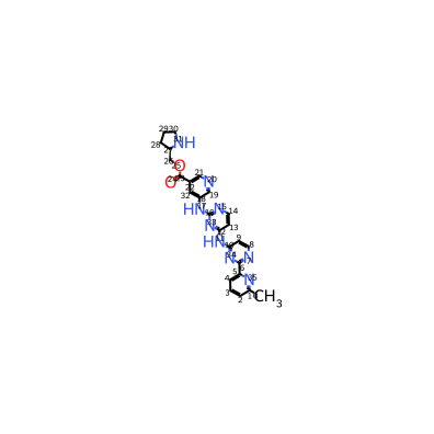 Cc1cccc(-c2nccc(Nc3ccnc(Nc4cncc(C(=O)OC[C@H]5CCCN5)c4)n3)n2)n1